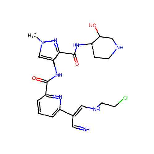 Cn1cc(NC(=O)c2cccc(/C(C=N)=C/NCCCl)n2)c(C(=O)NC2CCNCC2O)n1